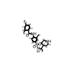 Cc1cc(S(=O)(=O)NC(C)C2CCNCC2)ccc1NC(=O)c1ccc(F)cc1C